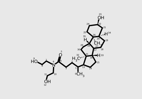 CC(CCC(=O)N(CCO)CCO)C1CC[C@H]2C3CC[C@@H]4C[C@H](O)CC[C@]4(C)[C@H]3CC[C@]12C